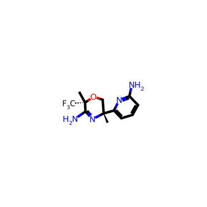 C[C@]1(c2cccc(N)n2)CO[C@@](C)(C(F)(F)F)C(N)=N1